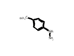 CCOC(=O)c1ccc(NN)cc1